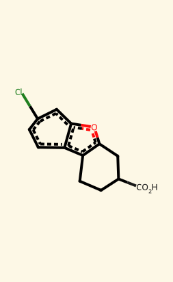 O=C(O)C1CCc2c(oc3cc(Cl)ccc23)C1